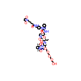 CC[C@H](C)[C@@H]([C@@H](CC(=O)N1CCC[C@H]1[C@H](OC)[C@@H](C)C(=O)N[C@@H](Cc1ccccc1)C(=O)Nc1ccc(CNC(=O)CCCCCN2C(=O)C=CC2=O)cc1)OC)N(C)C(=O)[C@@H](NC(=O)[C@@H]1[C@H]2CC[C@@H](C2)N1C(=O)CCOCCOCCOCCOCCO)C(C)C